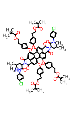 C=C(C)C(=O)OCCc1ccc(Oc2cc3c4c(cc(Oc5ccc(CCOC(=O)C(=C)C)cc5)c5c6c(Oc7ccc(CCOC(=O)C(=C)C)cc7)cc7c8c(cc(Oc9ccc(CCOC(=O)C(=C)C)cc9)c(c2c45)c86)C(=O)N(C(CC(C)C)C(=O)Nc2ccc(Cl)cc2)C7=O)C(=O)N(C(CC(C)C)C(=O)Nc2ccc(Cl)cc2)C3=O)cc1